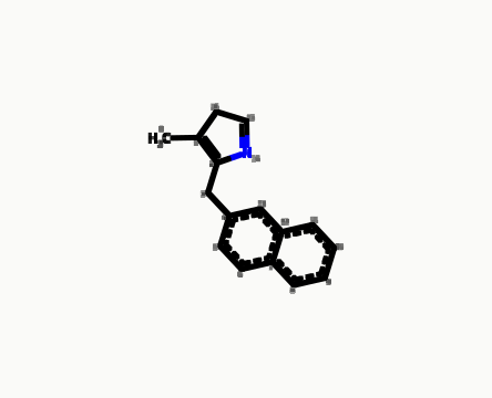 CC1=C(Cc2ccc3ccccc3c2)N=CC1